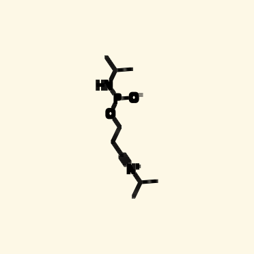 CC(C)[N+]#CCCOP([O-])NC(C)C